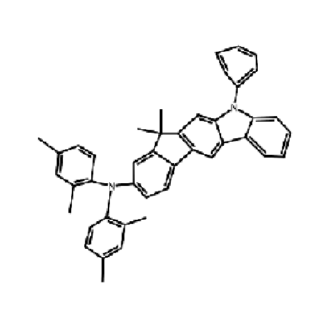 Cc1ccc(N(c2ccc3c(c2)C(C)(C)c2cc4c(cc2-3)c2ccccc2n4-c2ccccc2)c2ccc(C)cc2C)c(C)c1